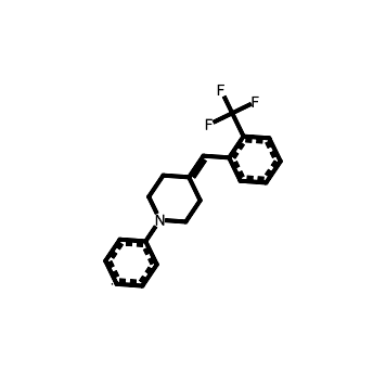 FC(F)(F)c1ccccc1C=C1CCN(c2cc[c]cc2)CC1